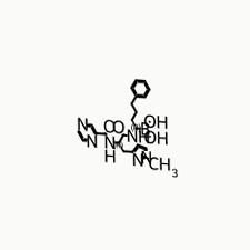 Cn1ccc(C[C@@H](NC(=O)c2cnccn2)C(=O)N[C@@H](CCCc2ccccc2)B(O)O)n1